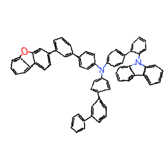 c1ccc(-c2cccc(-c3ccc(N(c4ccc(-c5cccc(-c6ccc7c(c6)oc6ccccc67)c5)cc4)c4ccc(-c5ccccc5-n5c6ccccc6c6ccccc65)cc4)cc3)c2)cc1